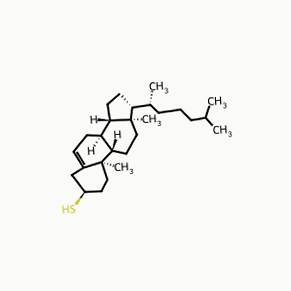 CC(C)CCC[C@@H](C)[C@H]1CC[C@H]2[C@@H]3CC=C4C[C@H](S)CC[C@]4(C)[C@H]3CC[C@]12C